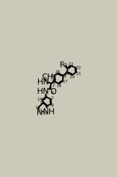 CNC(C(=O)Nc1ccc2[nH]ncc2c1)c1ccc(-c2ccccc2F)cc1